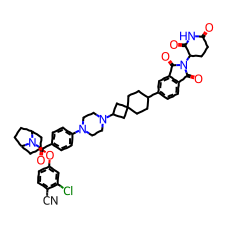 N#Cc1ccc(OC2CC3CCC(C2)N3C(=O)c2ccc(N3CCN(C4CC5(CCC(c6ccc7c(c6)C(=O)N(C6CCC(=O)NC6=O)C7=O)CC5)C4)CC3)cc2)cc1Cl